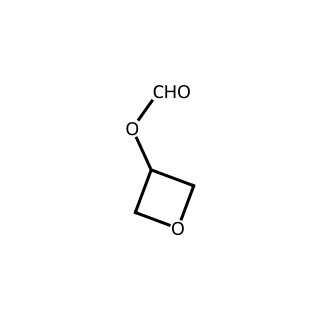 O=COC1COC1